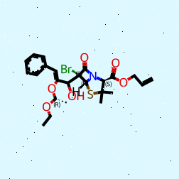 C=CCOC(=O)[C@@H]1N2C(=O)[C@@](Br)(C(O)C(=Cc3ccccc3)O[C@H](C)OCC)[C@H]2SC1(C)C